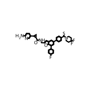 Nc1ccc(C2CC2C(=O)NCc2cc3cc(-c4ccc(C(=S)N5CCC(F)(F)CC5)cc4)cc(-c4ccc(F)cc4)c3o2)cn1